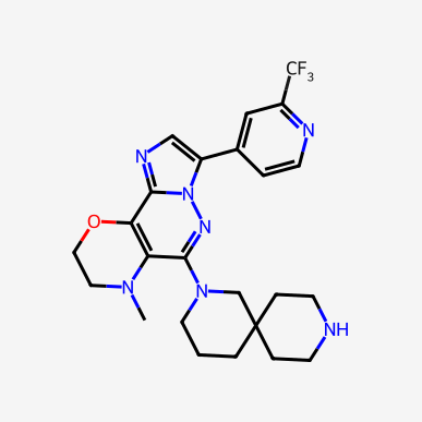 CN1CCOc2c1c(N1CCCC3(CCNCC3)C1)nn1c(-c3ccnc(C(F)(F)F)c3)cnc21